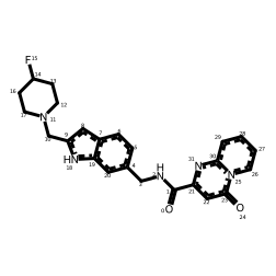 O=C(NCc1ccc2cc(CN3CCC(F)CC3)[nH]c2c1)c1cc(=O)n2ccccc2n1